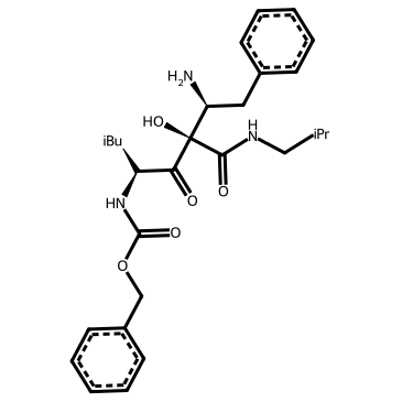 CC[C@H](C)[C@H](NC(=O)OCc1ccccc1)C(=O)[C@@](O)(C(=O)NCC(C)C)[C@@H](N)Cc1ccccc1